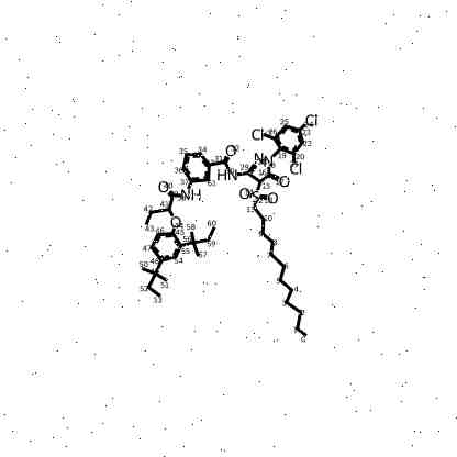 CCCCCCCCCCCCS(=O)(=O)C1C(=O)N(c2c(Cl)cc(Cl)cc2Cl)N=C1NC(=O)c1cccc(NC(=O)C(CC)Oc2ccc(C(C)(C)CC)cc2C(C)(C)CC)c1